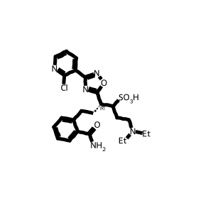 CCN(CC)CCC([C@H](CCc1ccccc1C(N)=O)c1nc(-c2cccnc2Cl)no1)S(=O)(=O)O